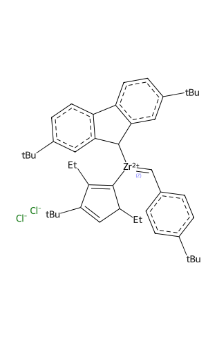 CCC1=[C](/[Zr+2](=[CH]\c2ccc(C(C)(C)C)cc2)[CH]2c3cc(C(C)(C)C)ccc3-c3ccc(C(C)(C)C)cc32)C(CC)C=C1C(C)(C)C.[Cl-].[Cl-]